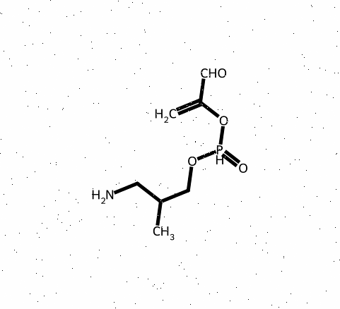 C=C(C=O)O[PH](=O)OCC(C)CN